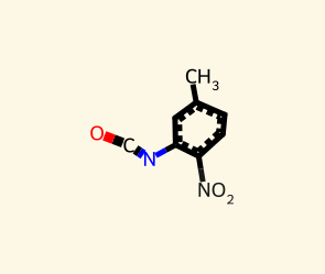 Cc1ccc([N+](=O)[O-])c(N=C=O)c1